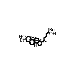 CC[C@]1(O)CC[C@H]2C(=CC[C@@H]3[C@@H]2CC[C@]2(C)[C@@H]([C@H](C)CCC[C@H](O)C(C)(C)C)CC[C@@H]32)C1